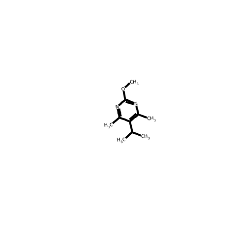 COc1nc(C)c(C(C)C)c(C)n1